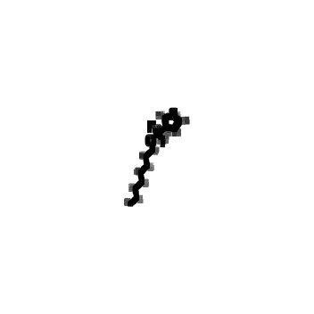 CCCCCCCCOC(F)(F)c1ccsc1